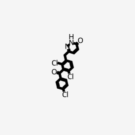 O=C(c1ccc(Cl)cc1)c1c(Cl)ccc(Cc2ccc(=O)[nH]n2)c1Cl